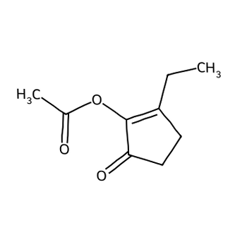 CCC1=C(OC(C)=O)C(=O)CC1